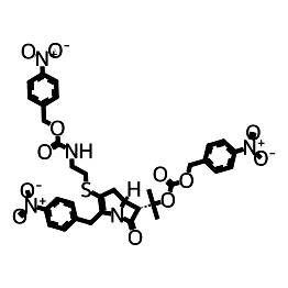 CC(C)(OC(=O)OCc1ccc([N+](=O)[O-])cc1)[C@@H]1C(=O)N2C(Cc3ccc([N+](=O)[O-])cc3)=C(SCCNC(=O)OCc3ccc([N+](=O)[O-])cc3)C[C@H]12